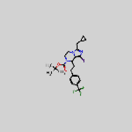 CC(C)(C)OC(=O)N1CCn2c(CC3CC3)nc(I)c2C1CCc1ccc(C(F)(F)F)cc1